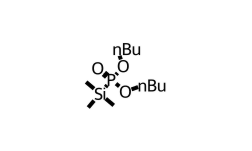 CCCCOP(=O)(OCCCC)[Si](C)(C)C